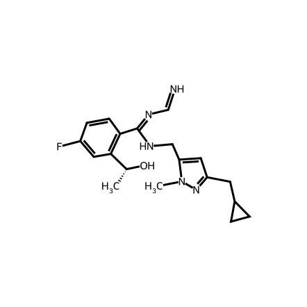 C[C@@H](O)c1cc(F)ccc1/C(=N/C=N)NCc1cc(CC2CC2)nn1C